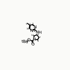 Cc1cnc(N[C@@H]2CCN(C(=O)OC(C)(C)C)C2)nc1